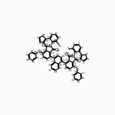 Cc1cccc(C2=CC=CC2)c1N1C(=O)c2c(Sc3ccccc3)ccc(-c3ccc(-c4ccc(Sc5ccccc5)c5c4C(=O)N(c4c(C)cccc4C4=CC=CC4)C5=O)c4ccccc34)c2C1=O